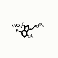 Cc1ccc(F)c2c(C(=O)O)cn(CCOC(F)(F)F)c12